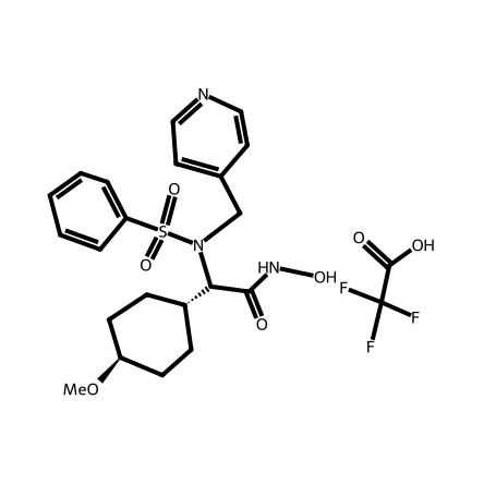 CO[C@H]1CC[C@H](C(C(=O)NO)N(Cc2ccncc2)S(=O)(=O)c2ccccc2)CC1.O=C(O)C(F)(F)F